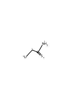 [Li][CH2]C(N)=S